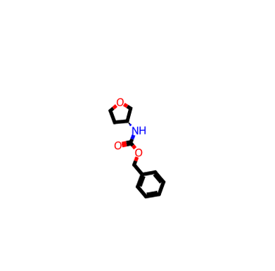 O=C(N[C@@H]1CCOC1)OCc1ccccc1